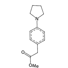 COC(=O)Cc1ccc(N2CCCC2)cc1